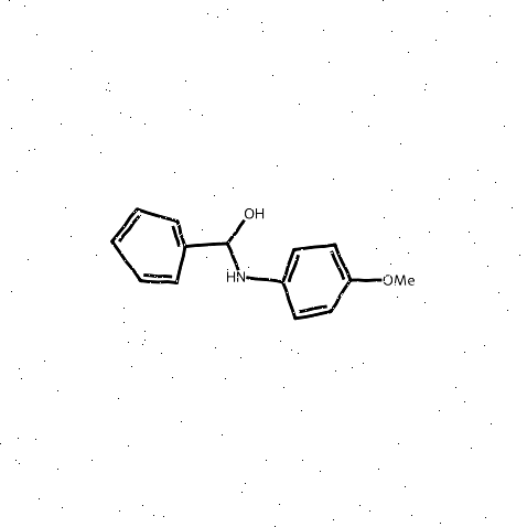 COc1ccc(NC(O)c2ccccc2)cc1